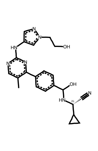 Cc1cnc(Nc2cnn(CCO)c2)nc1-c1ccc(C(O)N[C@H](C#N)C2CC2)cc1